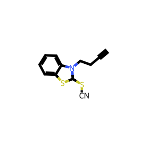 C#CCCN1c2ccccc2SC1SC#N